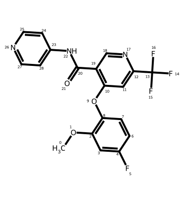 COc1cc(F)ccc1Oc1cc(C(F)(F)F)ncc1C(=O)Nc1ccncc1